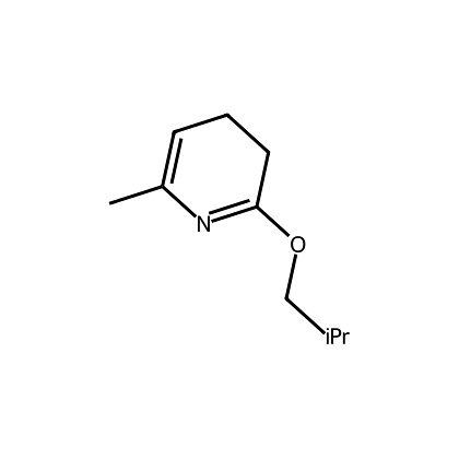 CC1=CCCC(OCC(C)C)=N1